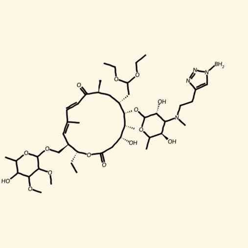 Bn1cc(CCN(C)C2[C@@H](O)C(C)OC(O[C@H]3[C@@H](CC(OCC)OCC)C[C@H](C)C(=O)/C=C/C(C)=C/[C@H](COC4OC(C)C(O)C(OC)C4OC)[C@@H](CC)OC(=O)C[C@@H](O)[C@H]3C)[C@@H]2O)nn1